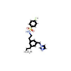 O=C(O)CCc1cc(CCNS(=O)(=O)c2ccc(F)cc2)cc(Cn2ccnc2)c1